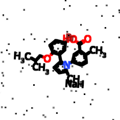 Cc1ccc(-n2c(C)ccc2-c2cc(Br)ccc2OCC(C)C)cc1C(=O)O.[NaH]